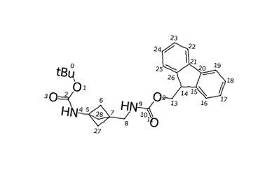 CC(C)(C)OC(=O)NC12CC(CNC(=O)OCC3c4ccccc4-c4ccccc43)(C1)C2